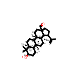 C=C(C)C1CCC2(C=O)CC[C@]3(C)[C@H](CC[C@@H]4[C@@]5(C)CCC(O)C(C)(C)[C@@H]5CC[C@]43C)C12